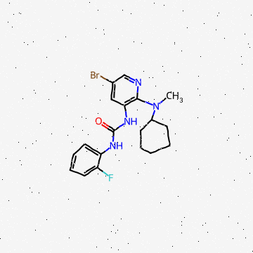 CN(c1ncc(Br)cc1NC(=O)Nc1ccccc1F)C1CCCCC1